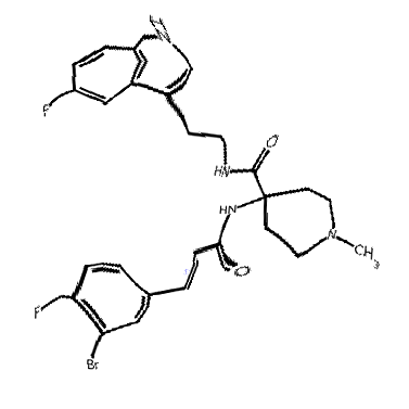 CN1CCC(NC(=O)/C=C/c2ccc(F)c(Br)c2)(C(=O)NCCc2c[nH]c3ccc(F)cc23)CC1